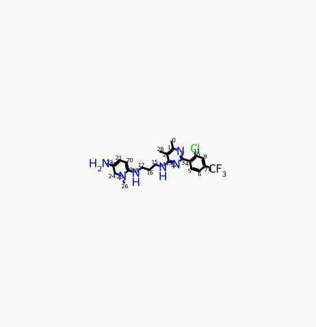 Cc1nc(-c2ccc(C(F)(F)F)cc2Cl)nc(NCCCNC2=CC=C(N)CN2C)c1C